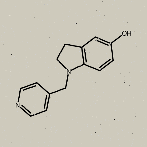 Oc1ccc2c(c1)CCN2Cc1ccncc1